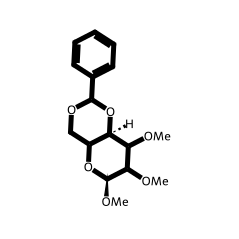 COC1C(OC)[C@@H]2OC(c3ccccc3)OCC2O[C@@H]1OC